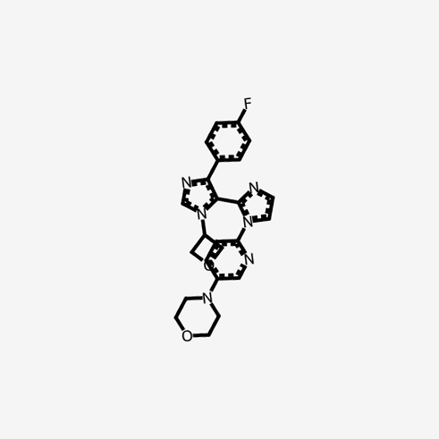 Fc1ccc(-c2ncn(C3COC3)c2-c2nccn2-c2ccc(N3CCOCC3)cn2)cc1